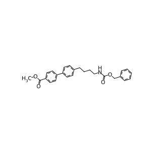 COC(=O)c1ccc(-c2ccc(CCCCNC(=O)OCc3ccccc3)cc2)cc1